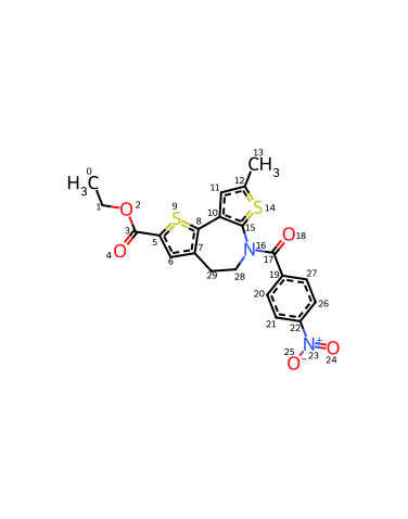 CCOC(=O)c1cc2c(s1)-c1cc(C)sc1N(C(=O)c1ccc([N+](=O)[O-])cc1)CC2